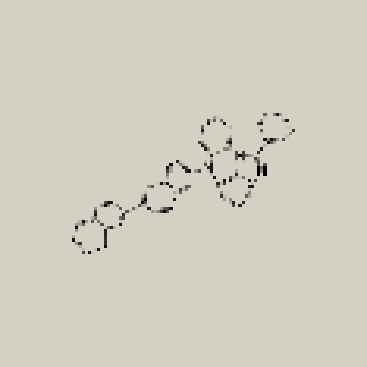 c1ccc(-c2nc3cccc4c3n2-c2ccccc2N4c2ccc3cc(-c4ccc5ccccc5c4)ccc3c2)cc1